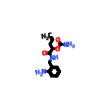 C=CCC(OC(N)=O)C(=O)NCc1ccccc1N